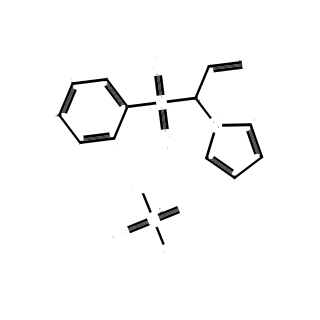 C=CC(n1cccc1)S(=O)(=O)c1ccccc1.O=S(=O)(Cl)Cl